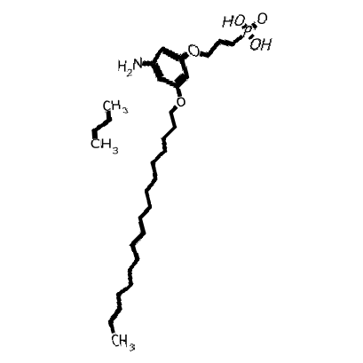 CCCC.CCCCCCCCCCCCCCCCCCOc1cc(N)cc(OCCCP(=O)(O)O)c1